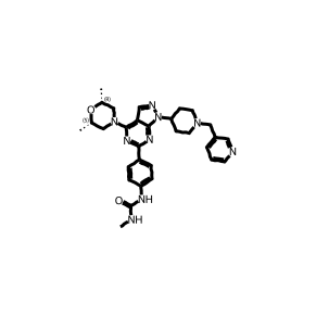 CNC(=O)Nc1ccc(-c2nc(N3C[C@@H](C)O[C@@H](C)C3)c3cnn(C4CCN(Cc5cccnc5)CC4)c3n2)cc1